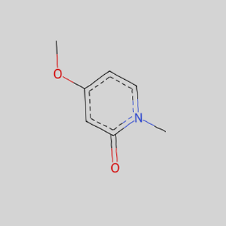 COc1ccn(C)c(=O)c1